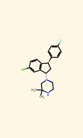 CC1(C)CN([C@H]2C[C@H](c3ccc(F)cc3)c3ccc(Cl)cc32)CCN1